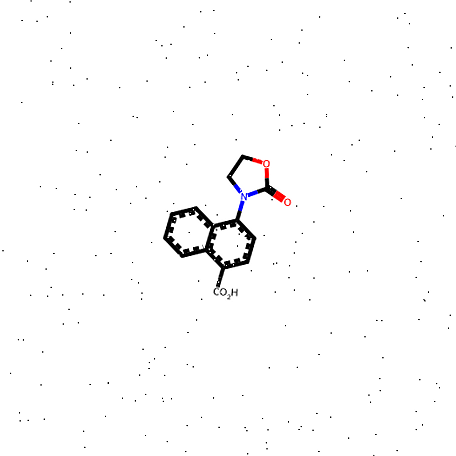 O=C(O)c1ccc(N2CCOC2=O)c2ccccc12